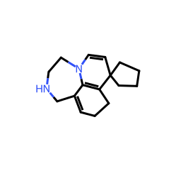 C1=CC2(CCCC2)C2=C3C(=CCC2)CNCCN13